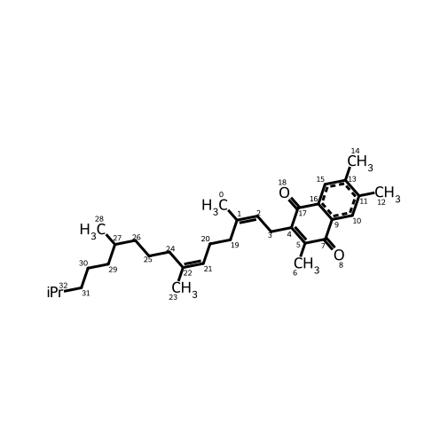 CC(=CCC1=C(C)C(=O)c2cc(C)c(C)cc2C1=O)CCC=C(C)CCCC(C)CCCC(C)C